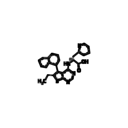 CCc1sc2ncnc(N[C@H](Cc3ccccn3)C(=O)O)c2c1-c1cccc2ccccc12